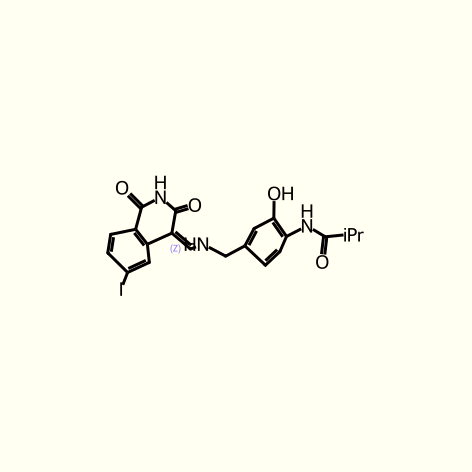 CC(C)C(=O)Nc1ccc(CN/C=C2\C(=O)NC(=O)c3ccc(I)cc32)cc1O